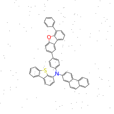 c1ccc(-c2cccc3c2oc2ccc(-c4ccc(N(c5ccc6c(ccc7ccccc76)c5)c5cccc6c5sc5ccccc56)cc4)cc23)cc1